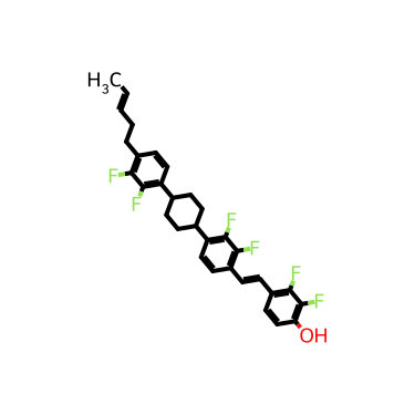 C/C=C/CCc1ccc(C2CCC(c3ccc(/C=C/c4ccc(O)c(F)c4F)c(F)c3F)CC2)c(F)c1F